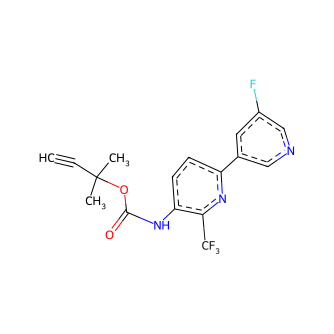 C#CC(C)(C)OC(=O)Nc1ccc(-c2cncc(F)c2)nc1C(F)(F)F